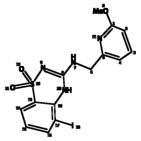 COc1cccc(CNC2=NS(=O)(=O)c3cccc(I)c3N2)n1